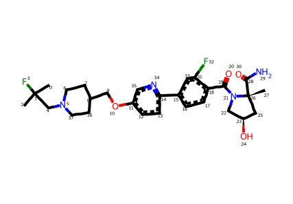 CC(C)(F)CN1CCC(COc2ccc(-c3ccc(C(=O)N4C[C@H](O)C[C@@]4(C)C(N)=O)c(F)c3)nc2)CC1